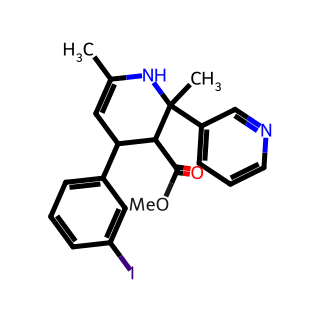 COC(=O)C1C(c2cccc(I)c2)C=C(C)NC1(C)c1cccnc1